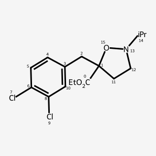 CCOC(=O)C1(Cc2ccc(Cl)c(Cl)c2)CCN(C(C)C)O1